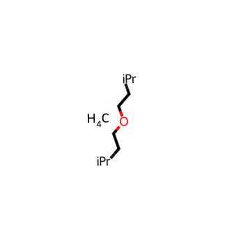 C.CC(C)CCOCCC(C)C